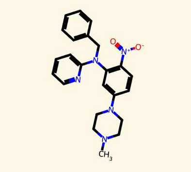 CN1CCN(c2ccc([N+](=O)[O-])c(N(Cc3ccccc3)c3ccccn3)c2)CC1